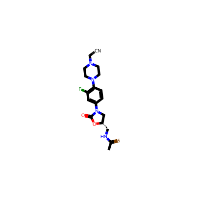 CC(=S)NC[C@H]1CN(c2ccc(N3CCN(CC#N)CC3)c(F)c2)C(=O)O1